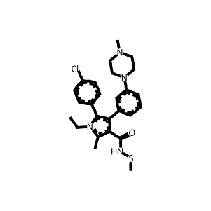 CCn1c(C)c(C(=O)NSC)c(-c2cccc(N3CCN(C)CC3)c2)c1-c1ccc(Cl)cc1